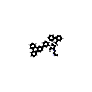 C/C=C\C=C1\c2nc3c4ccccc4c4ccccc4n3c2N(c2cccc(-c3ccc4c5ccccc5c5ccccc5c4c3)c2)C1C